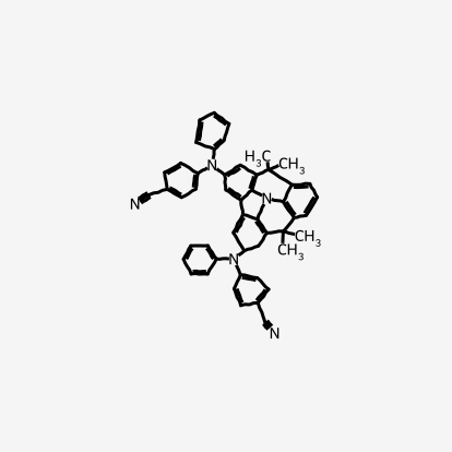 CC1(C)C2=c3c(c4cc(N(c5ccccc5)c5ccc(C#N)cc5)cc5c4n3-c3c1cccc3C5(C)C)=CC(N(c1ccccc1)c1ccc(C#N)cc1)C2